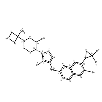 CC1(N2CC[C@@H](n3ncc(Nc4ncc5cc(Cl)c(C6CC6(F)F)cc5n4)c3Cl)C(F)C2)COC1